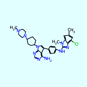 Cc1cc(Cl)c2nc(Nc3ccc(-c4cn(C5CCC(N6CCN(C)CC6)CC5)c5ncnc(N)c45)cc3)n(C)c2c1